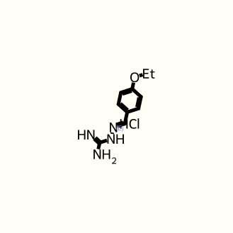 CCOc1ccc(/C=N/NC(=N)N)cc1.Cl